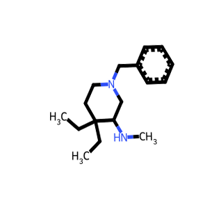 CCC1(CC)CCN(Cc2ccccc2)CC1NC